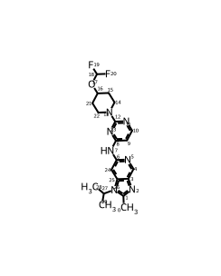 Cc1nc2cnc(Nc3ccnc(N4CCC(OC(F)F)CC4)n3)cc2n1C(C)C